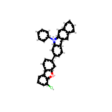 Clc1cccc2c1oc1cc(-c3ccc4c5cc6ccccc6cc5n(-c5ccccc5)c4c3)ccc12